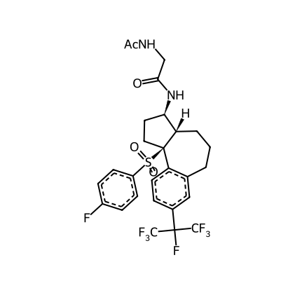 CC(=O)NCC(=O)N[C@@H]1CC[C@@]2(S(=O)(=O)c3ccc(F)cc3)c3ccc(C(F)(C(F)(F)F)C(F)(F)F)cc3CCC[C@@H]12